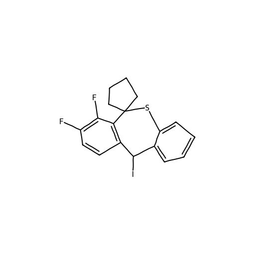 Fc1ccc2c(c1F)C1(CCCC1)Sc1ccccc1C2I